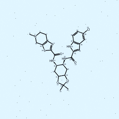 CN1CCc2nc(C(=O)N[C@@H]3CC4OC(C)(C)OC4C[C@@H]3NC(=O)c3cc4cc(Cl)ccc4[nH]3)sc2C1